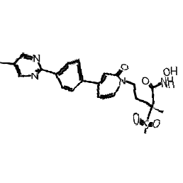 Cc1cnc(-c2ccc(-c3ccn(CC[C@](C)(C(=O)NO)S(C)(=O)=O)c(=O)c3)cc2)nc1